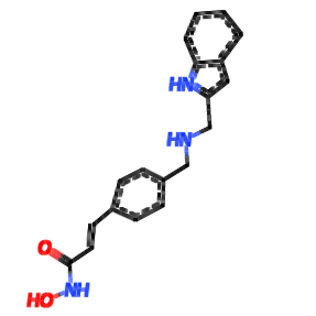 O=C(/C=C/c1ccc(CNCc2cc3ccccc3[nH]2)cc1)NO